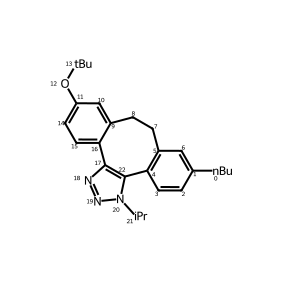 CCCCc1ccc2c(c1)CCc1cc(OC(C)(C)C)ccc1-c1nnn(C(C)C)c1-2